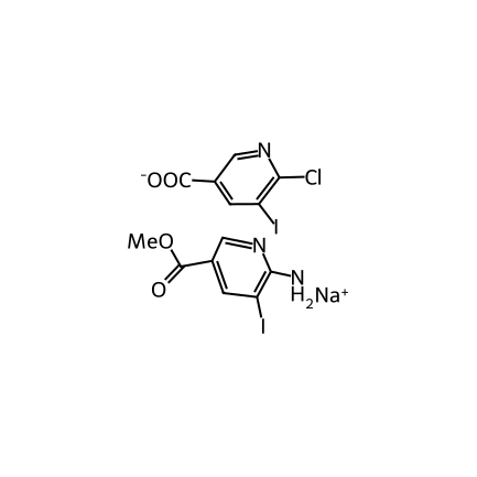 COC(=O)c1cnc(N)c(I)c1.O=C([O-])c1cnc(Cl)c(I)c1.[Na+]